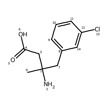 CC(N)(CC(=O)O)Cc1cccc(Cl)c1